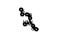 c1ccc(C2N=C(c3ccc4c(c3)oc3ccccc34)N=C(c3ccc4oc5ccc(-c6cccc7c6sc6ccccc67)cc5c4c3)N2)cc1